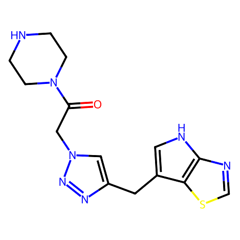 O=C(Cn1cc(Cc2c[nH]c3ncsc23)nn1)N1CCNCC1